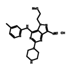 CCCc1nn(CCOC)c2c(Nc3cc(C)ccn3)nc(N3CCNCC3)nc12.Cl.Cl